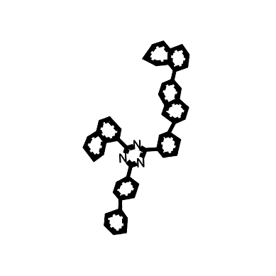 c1ccc(-c2ccc(-c3nc(-c4cccc(-c5ccc6cc(-c7cccc8ccccc78)ccc6c5)c4)nc(-c4cccc5ccccc45)n3)cc2)cc1